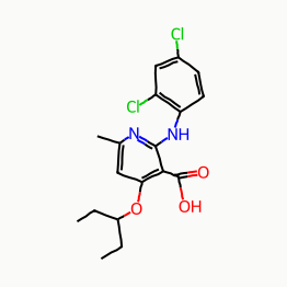 CCC(CC)Oc1cc(C)nc(Nc2ccc(Cl)cc2Cl)c1C(=O)O